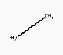 [CH2]CC/C=C/CCC/C=C/CCCCCCCC